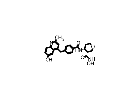 Cc1ccc2nc(C)cc(Cc3ccc(C(=O)N[C@@H]4CCOC[C@@H]4C(=O)NO)cc3)c2c1